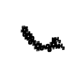 Nc1cc(N)cc(C(=O)OCCOc2ccc(C=CC(=O)Oc3ccc(OC4CCCC4)cc3)cc2)c1